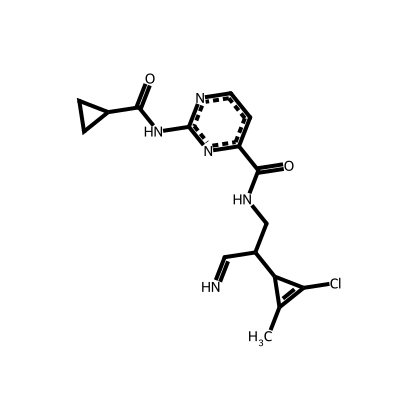 CC1=C(Cl)C1C(C=N)CNC(=O)c1ccnc(NC(=O)C2CC2)n1